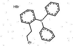 Br.CC(C)CCc1ccccc1P(c1ccccc1)c1ccccc1